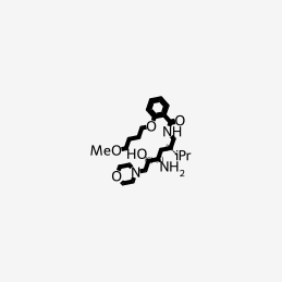 COCCCCOc1ccccc1C(=O)NC[C@@H](C[C@H](N)[C@@H](O)CN1CCOCC1)C(C)C